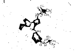 CC(C)(C)NS(=O)(=O)c1cccc(NC(=O)c2ccc(NS(=O)(=O)C(C)(C)C)cc2N2CCC3(CC2)CC3)c1